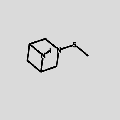 CSN1CC2CC(C1)N2I